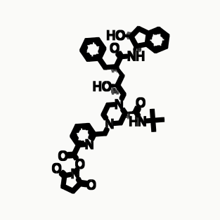 CC(C)(C)NC(=O)[C@@H]1CN(Cc2cccc(C(=O)ON3C(=O)CCC3=O)n2)CCN1C[C@@H](O)C[C@@H](Cc1ccccc1)C(=O)N[C@H]1c2ccccc2C[C@H]1O